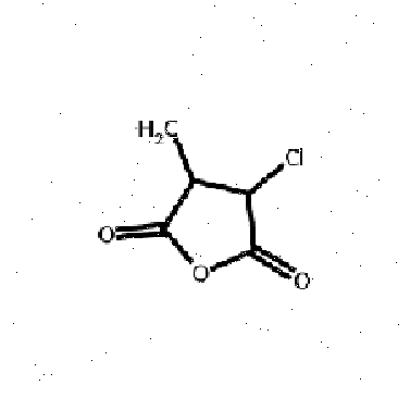 [CH2]C1C(=O)OC(=O)C1Cl